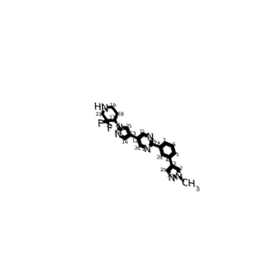 Cn1cc(-c2cccc(-c3ncc(-c4cnn(C5CCNCC5(F)F)c4)cn3)c2)cn1